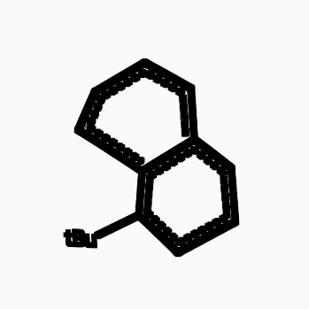 CC(C)(C)c1cccc2ccccc12